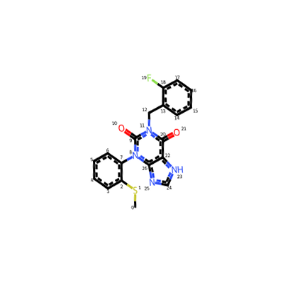 CSc1ccccc1-n1c(=O)n(Cc2ccccc2F)c(=O)c2[nH]cnc21